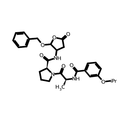 CC(C)Oc1cccc(C(=O)N[C@@H](C)C(=O)N2CCC[C@H]2C(=O)NC2CC(=O)OC2OCc2ccccc2)c1